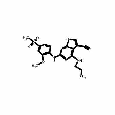 CCCNc1cc(Nc2ccc(S(C)(=O)=O)cc2OC)nc2[nH]cc(C#N)c12